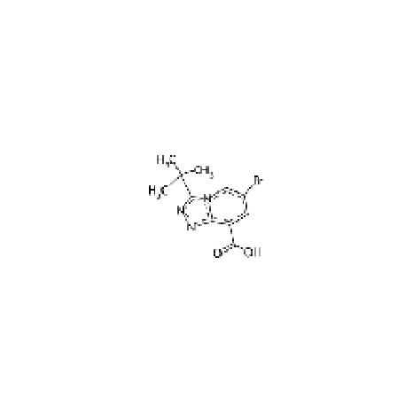 CC(C)(C)c1nnc2c(C(=O)O)cc(Br)cn12